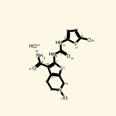 CCN1CCc2c(sc(NC(=O)Nc3ccc(Cl)s3)c2C(N)=O)C1.Cl